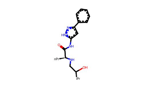 CCC[C@H](NCC(O)C(C)C)C(=O)Nc1cc(-c2ccccc2)n[nH]1